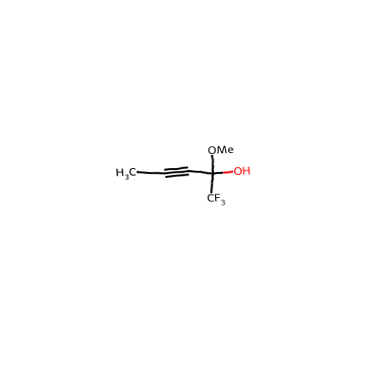 CC#CC(O)(OC)C(F)(F)F